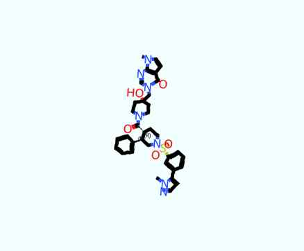 Cn1nccc1-c1cccc(S(=O)(=O)N2CC[C@@H](C(=O)N3CCC(O)(Cn4cnc5c(ccn5C)c4=O)CC3)[C@H](c3ccccc3)C2)c1